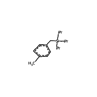 Cc1ccc(C[Si](C(C)C)(C(C)C)C(C)C)cc1